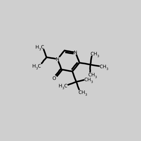 CC(C)n1cnc(C(C)(C)C)c(C(C)(C)C)c1=O